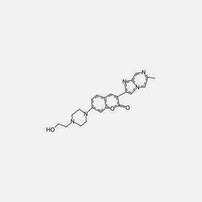 Cc1cn2cc(-c3cc4ccc(N5CCN(CCO)CC5)cc4oc3=O)nc2cn1